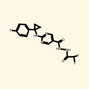 O=C(NNC(=O)C(F)F)c1cnc(NC2(c3ccc(F)cc3)CC2)nc1